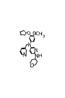 COc1ccc(N(Cc2cccnc2)c2ccc(NC3CCOCC3)nc2)cc1OC1CCCC1